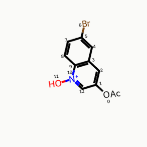 CC(=O)Oc1cc2cc(Br)ccc2[n+](O)c1